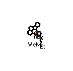 CCCCC(=O)c1cccc2ccc3c(c12)C(c1ccc(OCCC(CC)NC)cc1)c1ccccc1-3